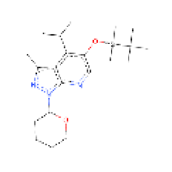 Cc1nn(C2CCCCO2)c2ncc(O[Si](C)(C)C(C)(C)C)c(C(C)C)c12